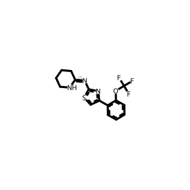 FC(F)(F)Oc1ccccc1-c1csc(/N=C2/CCCCN2)n1